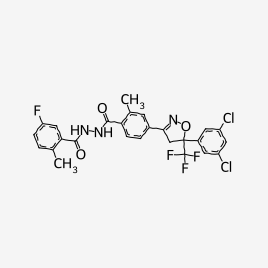 Cc1cc(C2=NOC(c3cc(Cl)cc(Cl)c3)(C(F)(F)F)C2)ccc1C(=O)NNC(=O)c1cc(F)ccc1C